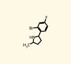 CC1CCC(c2ccc(F)cc2Br)N1